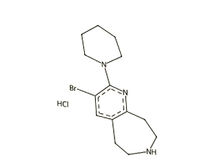 Brc1cc2c(nc1N1CCCCC1)CCNCC2.Cl